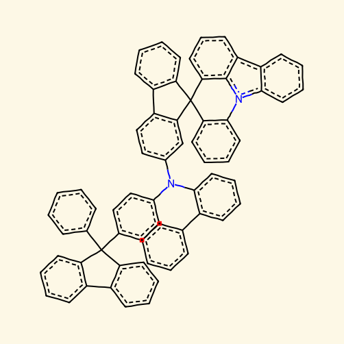 c1ccc(-c2ccccc2N(c2ccc(C3(c4ccccc4)c4ccccc4-c4ccccc43)cc2)c2ccc3c(c2)C2(c4ccccc4-3)c3ccccc3-n3c4ccccc4c4cccc2c43)cc1